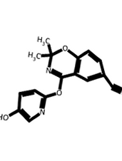 CC1(C)N=C(Oc2ccc(O)cn2)c2cc(C#N)ccc2O1